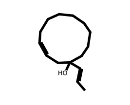 CC=CC1(O)CC=CCCCCCCCC1